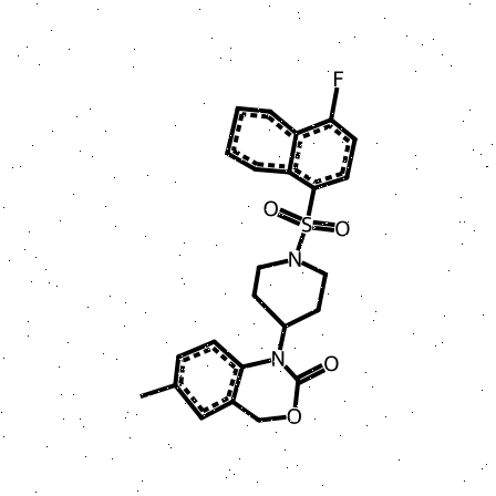 Cc1ccc2c(c1)COC(=O)N2C1CCN(S(=O)(=O)c2ccc(F)c3ccccc23)CC1